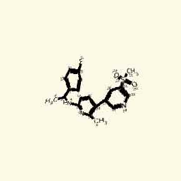 Cc1nc(NC(C)c2ccc(F)cc2)ccc1-c1cncc(S(C)(=O)=O)c1